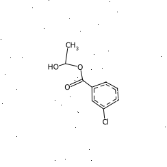 CC(O)OC(=O)c1cccc(Cl)c1